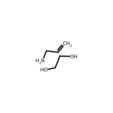 C=CCN.OCCO